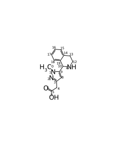 Cn1nc(CC(=O)O)cc1C1NCCc2ccccc21